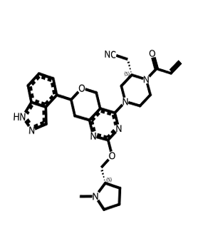 C=CC(=O)N1CCN(c2nc(OC[C@@H]3CCCN3C)nc3c2COC(c2cccc4[nH]ncc24)C3)C[C@@H]1CC#N